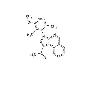 COc1ccc(C)c(-n2cc(C(N)=O)c3c4ccccc4cnc32)c1C